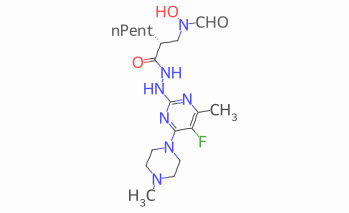 CCCCC[C@H](CN(O)C=O)C(=O)NNc1nc(C)c(F)c(N2CCN(C)CC2)n1